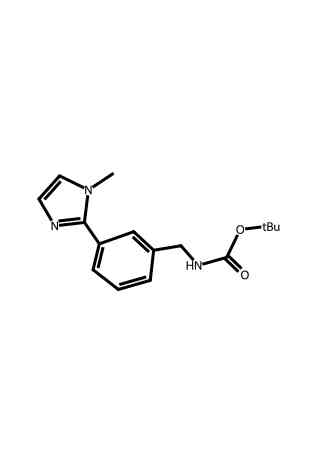 Cn1ccnc1-c1cccc(CNC(=O)OC(C)(C)C)c1